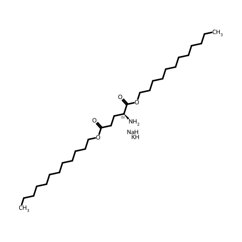 CCCCCCCCCCCCOC(=O)CC[C@H](N)C(=O)OCCCCCCCCCCCC.[KH].[NaH]